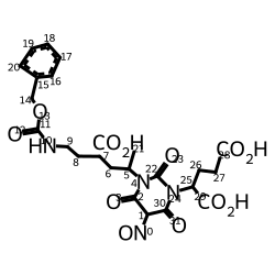 O=NC1C(=O)N(C(CCCCNC(=O)OCc2ccccc2)C(=O)O)C(=O)N(C(CCC(=O)O)C(=O)O)C1=O